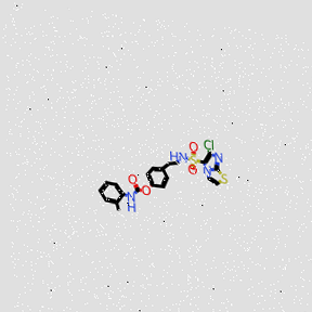 Cc1ccccc1NC(=O)Oc1ccc(CCNS(=O)(=O)c2c(Cl)nc3sccn23)cc1